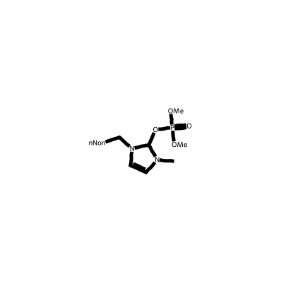 CCCCCCCCCCN1C=CN(C)C1OP(=O)(OC)OC